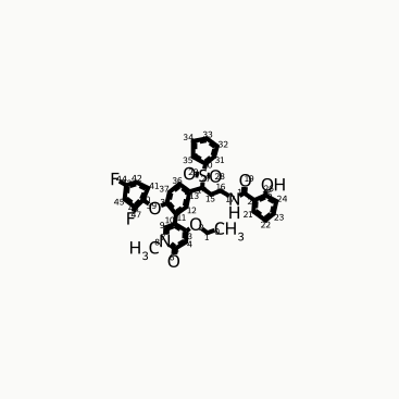 CCOc1cc(=O)n(C)cc1-c1cc(C(CCNC(=O)c2ccccc2O)S(=O)(=O)c2ccccc2)ccc1Oc1ccc(F)cc1F